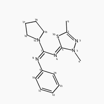 Cc1nn(C)c(=NC(=Nc2ccccc2)N2CCCC2)s1